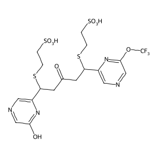 O=C(CC(SCCS(=O)(=O)O)c1cncc(O)n1)CC(SCCS(=O)(=O)O)c1cncc(OC(F)(F)F)n1